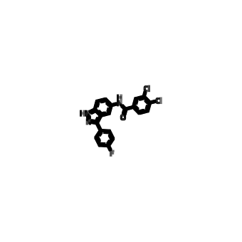 O=C(Nc1ccc2[nH]nc(-c3ccc(F)cc3)c2c1)c1ccc(Cl)c(Cl)c1